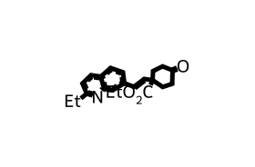 CCOC(=O)C1(/C=C/c2ccc3ccc(CC)nc3c2)CCC(=O)CC1